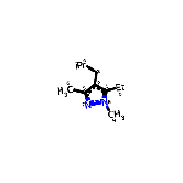 CCc1c(CC(C)C)c(C)nn1C